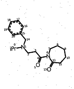 CC(C)N(CCC(=O)N1CCCCCC1=O)Cc1ccccc1